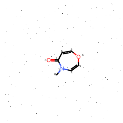 CN1C=COC=CC1=O